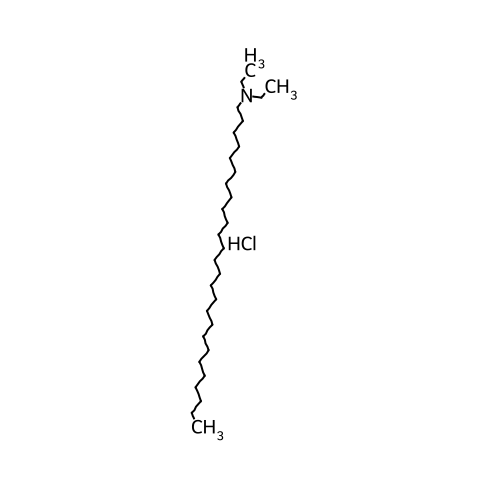 CCCCCCCCCCCCCCCCCCCCCCCCCCN(CC)CC.Cl